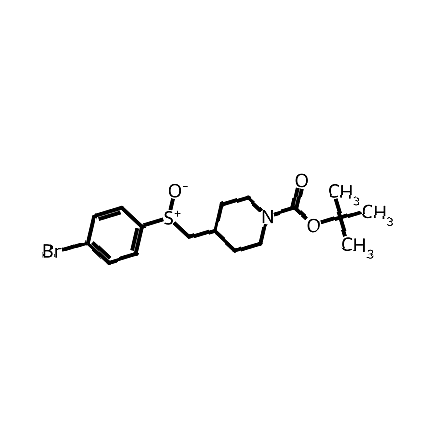 CC(C)(C)OC(=O)N1CCC(C[S+]([O-])c2ccc(Br)cc2)CC1